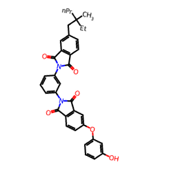 CCCC(C)(CC)Cc1ccc2c(c1)C(=O)N(c1cccc(N3C(=O)c4ccc(Oc5cccc(O)c5)cc4C3=O)c1)C2=O